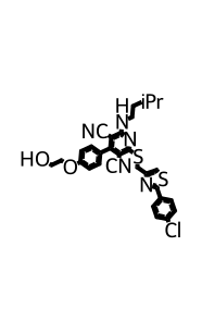 CC(C)CCNc1nc(SCc2csc(-c3ccc(Cl)cc3)n2)c(C#N)c(-c2ccc(OCCO)cc2)c1C#N